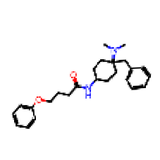 CN(C)C1(Cc2ccccc2)CCC(NC(=O)CCCOc2ccccc2)CC1